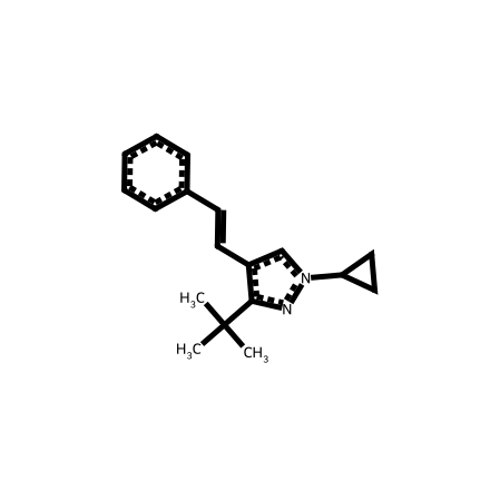 CC(C)(C)c1nn(C2CC2)cc1/C=C/c1ccccc1